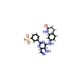 CS(=O)(=O)c1cccc(-c2nc(Nc3ccc4c(c3)NC(=O)CC4)c3[nH]ncc3n2)c1